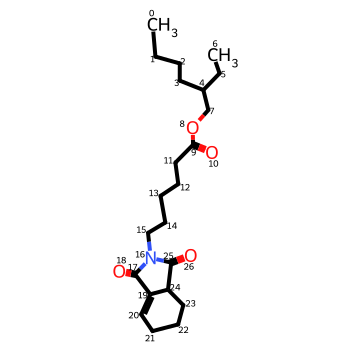 CCCCC(CC)COC(=O)CCCCCN1C(=O)C2=CCCCC2C1=O